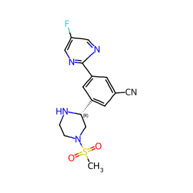 CS(=O)(=O)N1CCN[C@H](c2cc(C#N)cc(-c3ncc(F)cn3)c2)C1